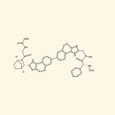 CCCN(Cc1nc2ccc3cc(-c4ccc5c(ccc6nc([C@@H]7[C@H]8CC[C@H](C8)N7C(=O)CNC(=O)OC)[nH]c65)c4)ccc3c2[nH]1)C(=O)[C@H](NC=O)c1ccccc1